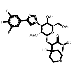 CCN(C)C(=O)C(S[C@@H]1O[C@H](COC(C)=O)[C@H](OC(C)=O)[C@H](n2cc(-c3cc(F)c(F)c(F)c3)nn2)[C@H]1OC)C1(O)CCNCC1